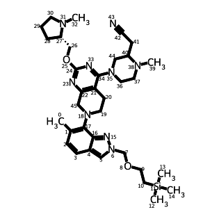 Cc1ccc2cn(COCC[Si](C)(C)C)nc2c1N1CCc2c(nc(OC[C@@H]3CCCN3C)nc2N2CCN(C)C(CC#N)C2)C1